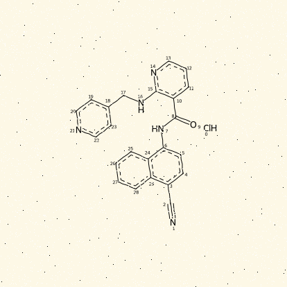 Cl.N#Cc1ccc(NC(=O)c2cccnc2NCc2ccncc2)c2ccccc12